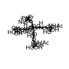 CC(=O)N[C@H]1[C@H](OCCOCCNCC(=O)CCOCC(COCCC(=O)NCCOCCO[C@@H]2O[C@H](CO)[C@H](O)[C@H](O)[C@H]2NC(C)=O)(COCCC(=O)NCCOCCO[C@@H]2O[C@H](CO)[C@H](O)[C@H](O)[C@H]2NC(C)=O)NC(=O)CCC2CCC(OP(OCCC#N)N(C(C)C)C(C)C)CC2)O[C@H](CO)[C@H](O)[C@@H]1O